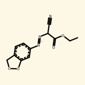 CCOC(=O)C(C#N)/N=N/c1ccc2c(c1)OOC2